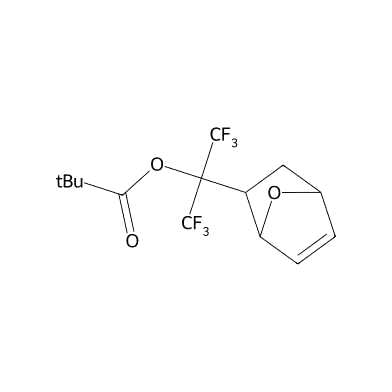 CC(C)(C)C(=O)OC(C1CC2C=CC1O2)(C(F)(F)F)C(F)(F)F